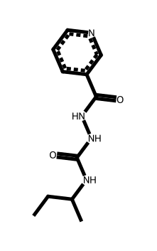 CCC(C)NC(=O)NNC(=O)c1cccnc1